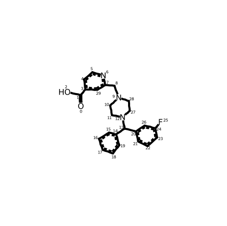 O=C(O)c1ccnc(CN2CCN(C(c3ccccc3)c3cccc(F)c3)CC2)c1